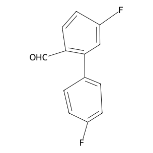 O=Cc1ccc(F)cc1-c1ccc(F)cc1